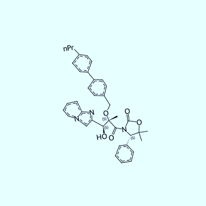 CCCc1ccc(-c2ccc(CO[C@](C)(C(=O)N3C(=O)OC(C)(C)[C@@H]3c3ccccc3)[C@@H](O)c3cn4ccccc4n3)cc2)cc1